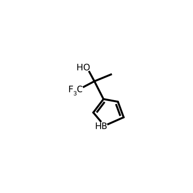 CC(O)(C1=CBC=C1)C(F)(F)F